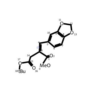 COC(=O)/C(=C\c1ccc2c(c1)OCO2)CC(=O)OC(C)(C)C